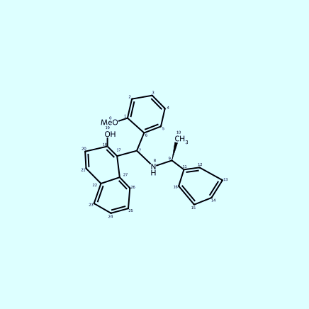 COc1ccccc1C(N[C@@H](C)c1ccccc1)c1c(O)ccc2ccccc12